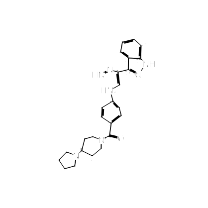 N=N/C(=C\Nc1ccc(C(=O)N2CCC(N3CCCC3)CC2)cc1)c1n[nH]c2ccccc12